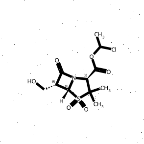 CC(Cl)OC(=O)[C@@H]1N2C(=O)[C@@H](CO)[C@H]2S(=O)(=O)C1(C)C